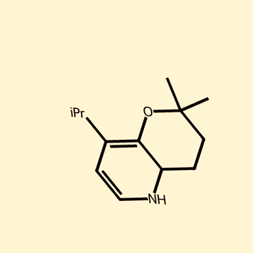 CC(C)C1=C2OC(C)(C)CCC2NC=C1